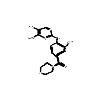 COc1cc(C(=O)N2CCOCC2)ccc1Nc1ncc(C(F)(F)F)c(OC)n1